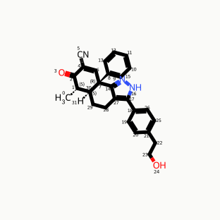 C[C@@H]1C(=O)C(C#N)=C[C@]2(c3ccccc3)c3n[nH]c(-c4ccc(CCO)cc4)c3CC[C@@H]12